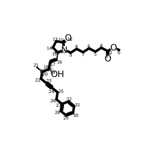 COC(=O)CCCCCCN1C(=O)CC[C@@H]1C=C[C@H](O)[C@H](C)CC#CCCc1ccccc1